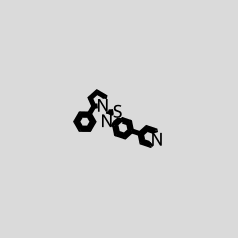 c1ccc(C2CCCN2c2nc3ccc(-c4ccncc4)cc3s2)cc1